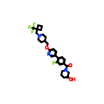 O=C(c1ccc(-c2ccc(OCC3CCN(CC4(C(F)(F)F)CCC4)CC3)nc2)c(F)c1)N1CCC[C@@H](O)C1